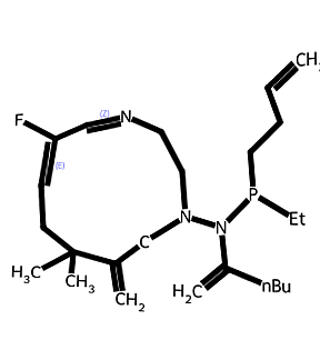 C=CCCP(CC)N(C(=C)CCCC)N1CC/N=C\C(F)=C/CC(C)(C)C(=C)C1